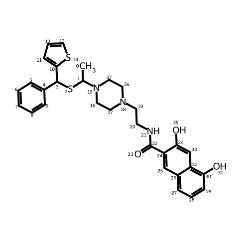 CC(SC(c1ccccc1)c1cccs1)N1CCN(CCNC(=O)c2cc3cccc(O)c3cc2O)CC1